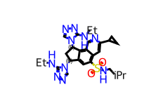 CCNc1nncn1[C@@H]1C[C@@H](n2cnnc2NCC)c2c1cc(S(=O)(=O)NCC(C)C)c1cc(C3CC3)ncc21